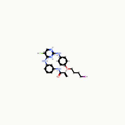 C=CC(=O)Nc1cccc(Nc2nc(Nc3ccc(OCCCCI)cc3)ncc2F)c1